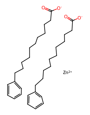 O=C([O-])CCCCCCCCCCc1ccccc1.O=C([O-])CCCCCCCCCCc1ccccc1.[Zn+2]